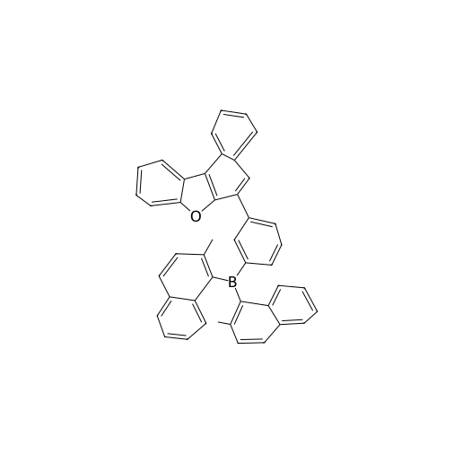 Cc1ccc2ccccc2c1B(c1cccc(-c2cc3ccccc3c3c2oc2ccccc23)c1)c1c(C)ccc2ccccc12